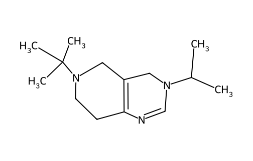 CC(C)N1C=NC2=C(C1)CN(C(C)(C)C)CC2